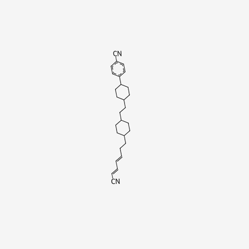 N#CC=CC=CCCC1CCC(CCC2CCC(c3ccc(C#N)cc3)CC2)CC1